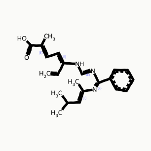 C=C/C(=C\C=C(/C)C(=O)O)N/C=N/C(=N\C(C)=C\C(C)C)c1ccccc1